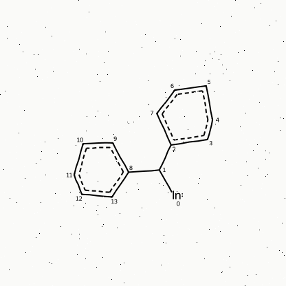 [In][CH](c1ccccc1)c1ccccc1